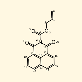 C=CCOC(=O)N1C(=O)c2cccc3cccc(c23)C1=O